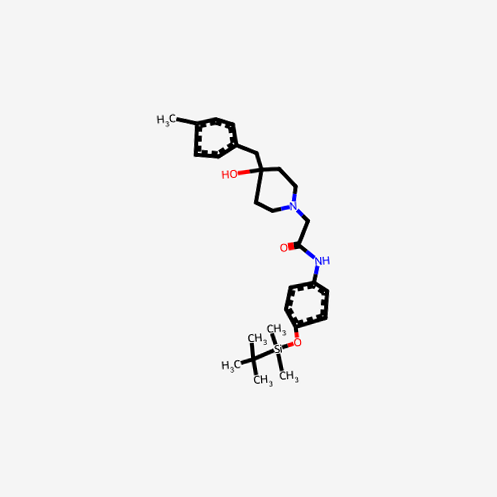 Cc1ccc(CC2(O)CCN(CC(=O)Nc3ccc(O[Si](C)(C)C(C)(C)C)cc3)CC2)cc1